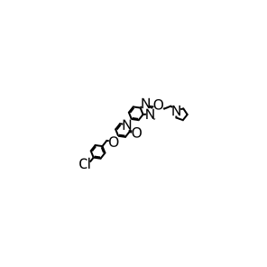 CN1C(OCCN2CCCC2)=NC2C=CC(n3ccc(OCc4ccc(Cl)cc4)cc3=O)=CC21